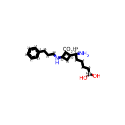 N[C@](CCCCB(O)O)(C(=O)O)C1CC(NCCCc2ccccc2)C1